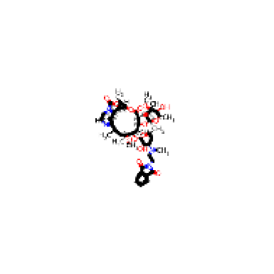 CO[C@]1(C)C[C@H](O[C@H]2[C@H](C)[C@@H](O[C@@H]3O[C@H](C)C[C@H](N(C)CCN4C(=O)c5ccccc5C4=O)[C@H]3O)[C@@](C)(OC)C[C@@H](C)C3=NCCN4C(=O)O[C@@]5(C(C)[C@H]5OC(=O)[C@@H]2C)[C@H]4[C@H]3C)O[C@@H](C)[C@@H]1O